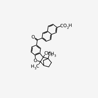 CC12CCC(C1)C1(C)Oc3ccc(C(=O)c4ccc5cc(C(=O)O)ccc5c4)cc3C21C